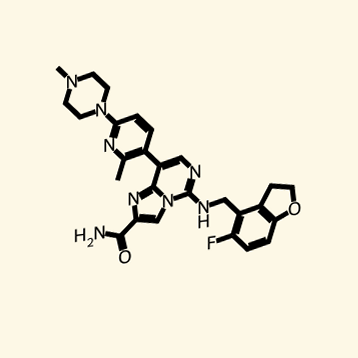 Cc1nc(N2CCN(C)CC2)ccc1-c1cnc(NCc2c(F)ccc3c2CCO3)n2cc(C(N)=O)nc12